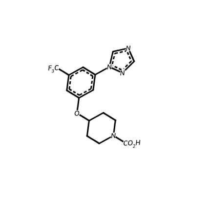 O=C(O)N1CCC(Oc2cc(-n3cncn3)cc(C(F)(F)F)c2)CC1